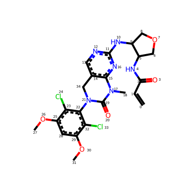 C=CC(=O)NC1COCC1Nc1ncc2c(n1)N(C)C(=O)N(c1c(Cl)c(OC)cc(OC)c1Cl)C2